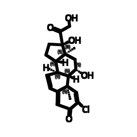 C[C@]12C=C(Cl)C(=O)C=C1C=C[C@@H]1[C@@H]2[C@@H](O)C[C@@]2(C)[C@H]1CC[C@]2(O)C(=O)CO